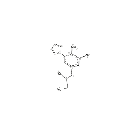 Nc1cc(CC(O)CO)cc(-c2cccs2)c1N